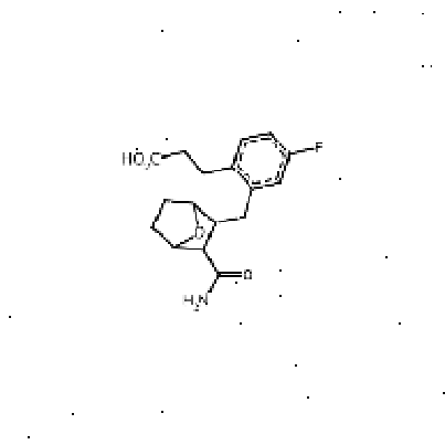 NC(=O)C1C2CCC(O2)C1Cc1cc(F)ccc1CCC(=O)O